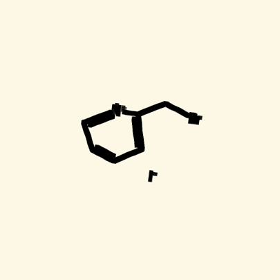 BrCC1=CC=CC=[N+]1.[I-]